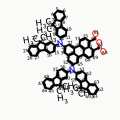 CC1(C)c2ccccc2-c2ccc(N(c3ccc4c(c3)C(C)(C)c3ccccc3-4)c3cc4cc(N(c5ccc6c(c5)C(C)(C)c5ccccc5-6)c5ccc6c(c5)C(C)(C)c5ccccc5-6)cc5c6ccc7c8c(ccc(c(c3)c45)c86)C(=O)OC7=O)cc21